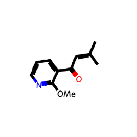 COc1ncccc1C(=O)C=C(C)C